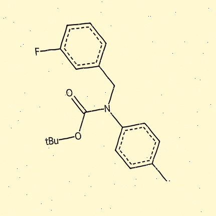 [CH2]c1ccc(N(Cc2cccc(F)c2)C(=O)OC(C)(C)C)cc1